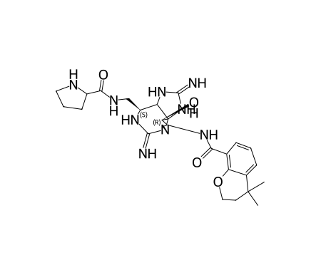 CC1(C)CCOc2c(C(=O)NC3CN4C(=N)N[C@@H](CNC(=O)C5CCCN5)C5NC(=N)NC54[C@@H]3O)cccc21